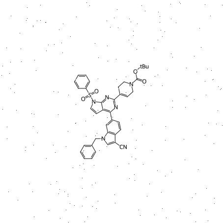 CC(C)(C)OC(=O)N1CC=C(c2nc(-c3ccc4c(C#N)cn(Cc5ccccc5)c4c3)c3ccn(S(=O)(=O)c4ccccc4)c3n2)CC1